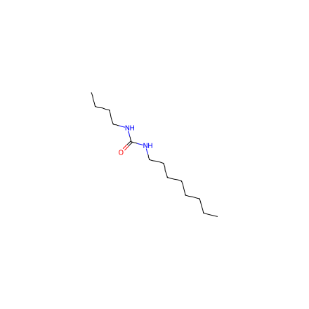 CCCCCCCCNC(=O)NCCCC